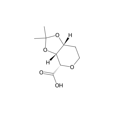 CC1(C)O[C@H]2[C@@H](C(=O)O)OCC[C@H]2O1